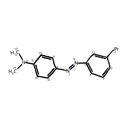 CC(C)c1cccc(/N=N/c2ccc(N(C)C)cc2)c1